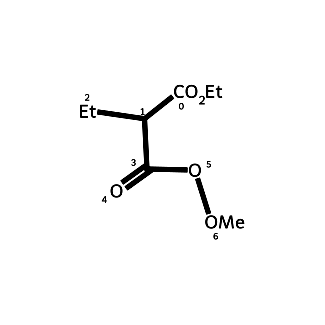 CCOC(=O)C(CC)C(=O)OOC